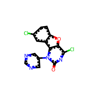 O=c1nc(Cl)c2oc3ccc(Cl)cc3c2n1-c1cncnc1